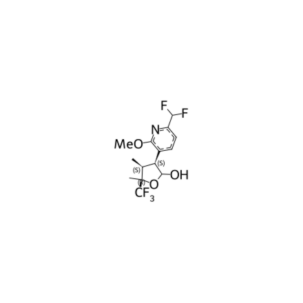 COc1nc(C(F)F)ccc1[C@H]1C(O)O[C@@](C)(C(F)(F)F)[C@H]1C